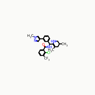 CC1=C(C(NC(=O)c2cccc(C(F)(F)F)c2Cl)c2cccc(-c3cnn(C)c3)c2)NCC(C)C1